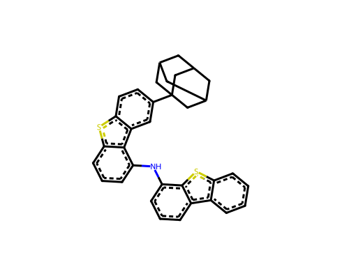 c1ccc2c(c1)sc1c(Nc3cccc4sc5ccc(C67CC8CC(CC(C8)C6)C7)cc5c34)cccc12